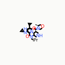 CC(C)CN(C(=O)c1ncc(C2CC2)cc1NC1CC1)C1CNC[C@H](C(=O)N2CCOC[C@@H]2C)C1